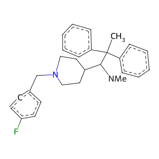 CNC(C1CCN(Cc2ccc(F)cc2)CC1)C(C)(c1ccccc1)c1ccccc1